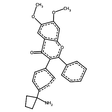 COc1cc2oc(-c3ccccc3)c(-c3ccc(C4(N)CCC4)cc3)c(=O)c2cc1OC